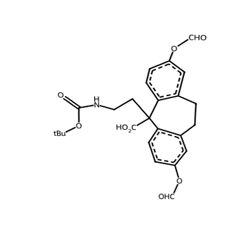 CC(C)(C)OC(=O)NCCC1(C(=O)O)c2ccc(OC=O)cc2CCc2cc(OC=O)ccc21